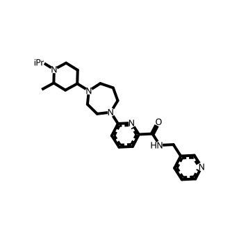 CC(C)N1CCC(N2CCCN(c3cccc(C(=O)NCc4cccnc4)n3)CC2)CC1C